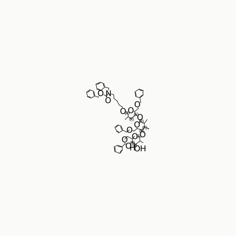 CC1[C@H](OCCCCCN(Cc2ccccc2)C(=O)OCc2ccccc2)OC(COCc2ccccc2)[C@@H](O[C@@H]2OC(COCc3ccccc3)[C@H](O[C@H]3OC4COC(c5ccccc5)O[C@@H]4[C@H](O)C3C)[C@H](C)C2C)[C@@H]1C